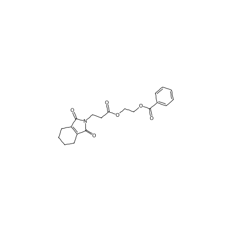 O=C(CCN1C(=O)C2=C(CCCC2)C1=O)OCCOC(=O)c1ccccc1